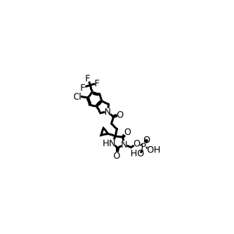 O=C(CCC1(C2CC2)NC(=O)N(COP(=O)(O)O)C1=O)N1Cc2cc(Cl)c(C(F)(F)F)cc2C1